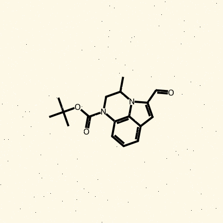 CC1CN(C(=O)OC(C)(C)C)c2cccc3cc(C=O)n1c23